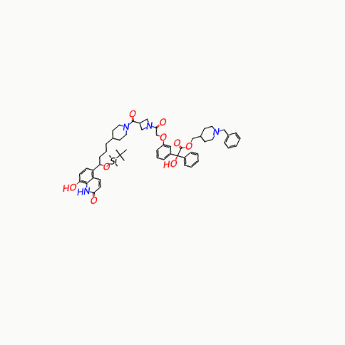 CC(C)(C)[Si](C)(C)OC(CCCC1CCN(C(=O)C2CN(C(=O)COc3cccc([C@](O)(C(=O)OCC4CCN(Cc5ccccc5)CC4)c4ccccc4)c3)C2)CC1)c1ccc(O)c2[nH]c(=O)ccc12